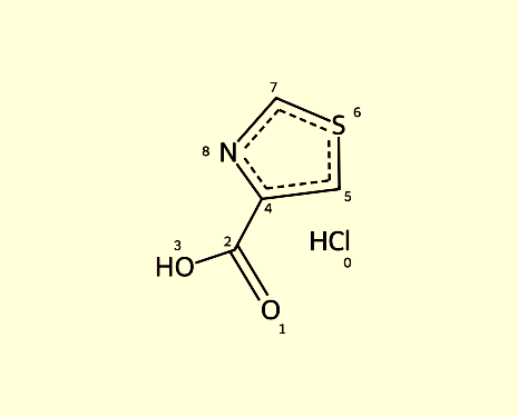 Cl.O=C(O)c1cscn1